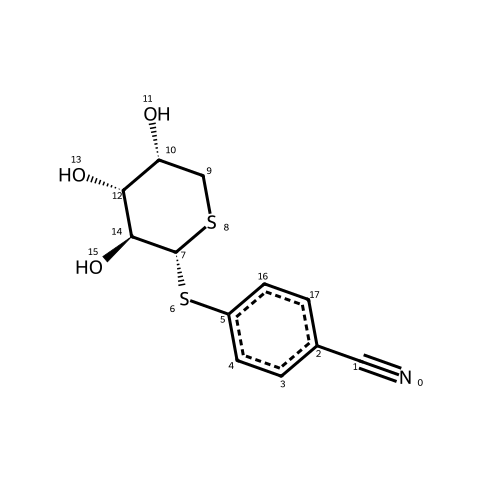 N#Cc1ccc(S[C@H]2SC[C@@H](O)[C@@H](O)[C@@H]2O)cc1